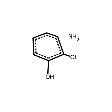 N.Oc1ccccc1O